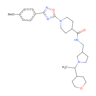 COc1ccc(-c2noc(N3CCC(C(=O)NCC4CCN(C(C)C5CCOCC5)C4)CC3)n2)cc1